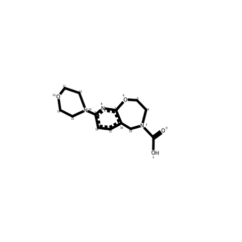 O=C(O)N1CCOc2nc(N3CCOCC3)ccc2C1